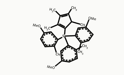 COc1ccc(C)c([Si](C2=C(C)C(C)=C(C)C2C)(c2cc(OC)ccc2C)c2cc(OC)ccc2C)c1